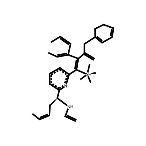 C=CN[C@@H](C/C=C\C)c1cccc(/C(=C(/C(=C)CC2=CC=CCC2)C(=CC)/C=C\C)[SH](C)(C)(C)C)n1